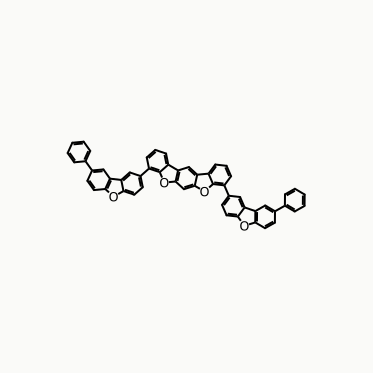 c1ccc(-c2ccc3oc4ccc(-c5cccc6c5oc5cc7oc8c(-c9ccc%10oc%11ccc(-c%12ccccc%12)cc%11c%10c9)cccc8c7cc56)cc4c3c2)cc1